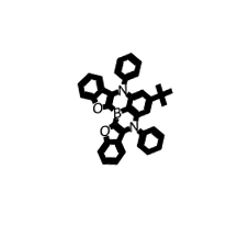 CC(C)(C)c1cc2c3c(c1)N(c1ccccc1)c1c(oc4ccccc14)B3c1oc3ccccc3c1N2C1=CCCC=C1